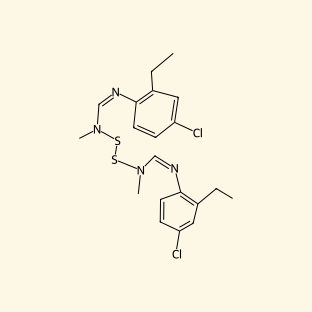 CCc1cc(Cl)ccc1/N=C\N(C)SSN(C)/C=N\c1ccc(Cl)cc1CC